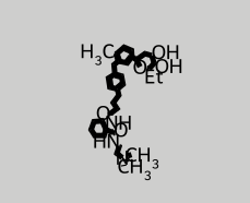 CCC1OC(c2ccc(C)c(Cc3ccc(CCCC(=O)NC4(C(=O)NCCN(C)C)CCCCC4)cc3)c2)CC(O)[C@@H]1O